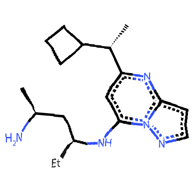 CC[C@@H](C[C@H](C)N)Nc1cc([C@@H](C)C2CCC2)nc2ccnn12